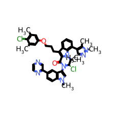 Cc1cc(OCCCc2c3n(c4c(-c5c(C)nn(C)c5C)cccc24)C(C)[C@@H](Cl)N(c2cn(C)c4ccc(-c5cnccn5)cc24)C3=O)cc(C)c1Cl